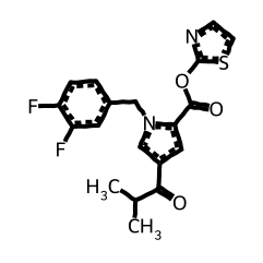 CC(C)C(=O)c1cc(C(=O)Oc2nccs2)n(Cc2ccc(F)c(F)c2)c1